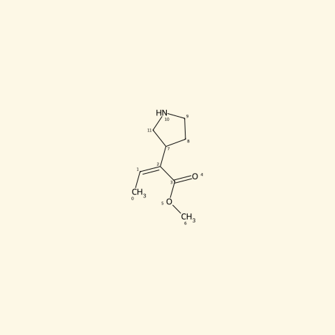 CC=C(C(=O)OC)C1CCNC1